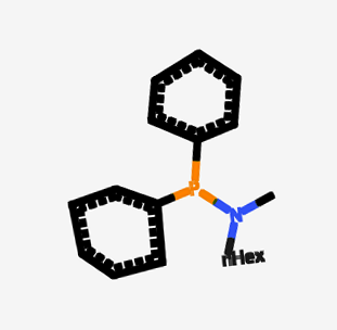 CCCCCCN(C)P(c1ccccc1)c1ccccc1